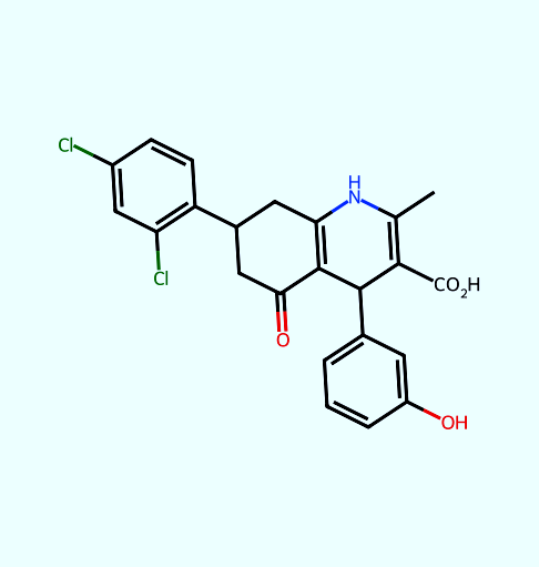 CC1=C(C(=O)O)C(c2cccc(O)c2)C2=C(CC(c3ccc(Cl)cc3Cl)CC2=O)N1